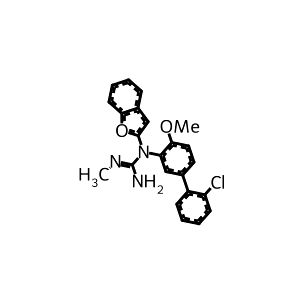 CN=C(N)N(c1cc2ccccc2o1)c1cc(-c2ccccc2Cl)ccc1OC